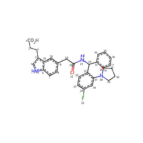 O=C(O)CCc1c[nH]c2ccc(CC(=O)NC(c3ccccc3)c3ccc(F)cc3N3CCCC3)cc12